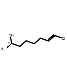 C[C@@H](O)CCCCC=CCl